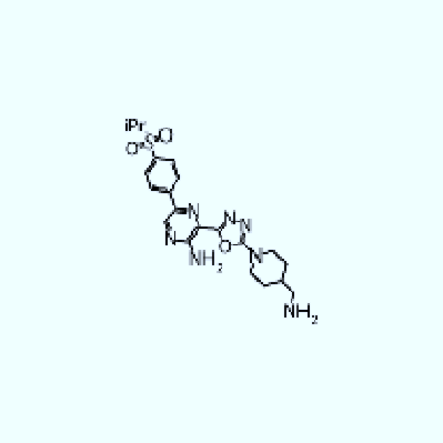 CC(C)S(=O)(=O)c1ccc(-c2cnc(N)c(-c3nnc(N4CCC(CN)CC4)o3)n2)cc1